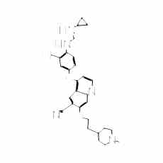 CN1CCC(CCOc2cc3nccc(Oc4ccc(NC(=O)NC5CC5)c(Cl)c4)c3cc2C#N)CC1